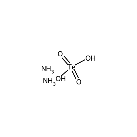 N.N.O=[Te](=O)(O)O